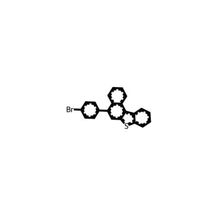 Brc1ccc(-c2cc3sc4ccccc4c3c3ccccc23)cc1